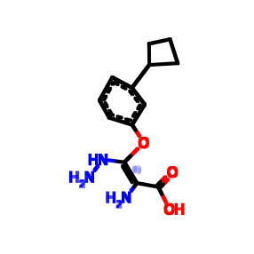 NN/C(Oc1cccc(C2CCC2)c1)=C(\N)C(=O)O